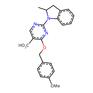 COc1ccc(COc2nc(N3c4ccccc4CC3C)ncc2C(=O)O)cc1